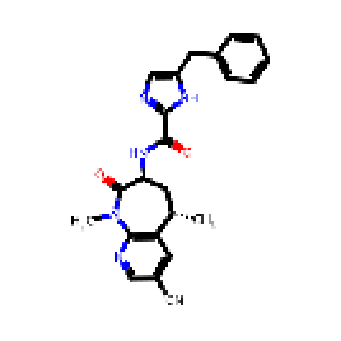 C[C@H]1C[C@H](NC(=O)c2ncc(Cc3ccccc3)[nH]2)C(=O)N(C)c2ncc(C#N)cc21